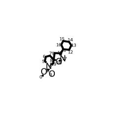 COC(=O)N1CCCC2(CC(C3CCCCC3)=NO2)C1